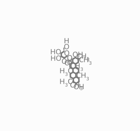 CC1(C)CC2C3=CCC4[C@@]5(C)CC[C@H](O)C(C)(C)C5CC[C@@]4(C)C3(C)CC[C@@]2(C(=O)O[C@@H]2O[C@H](CO)[C@@H](O)[C@H](O)[C@H]2O)C[C@@H]1O